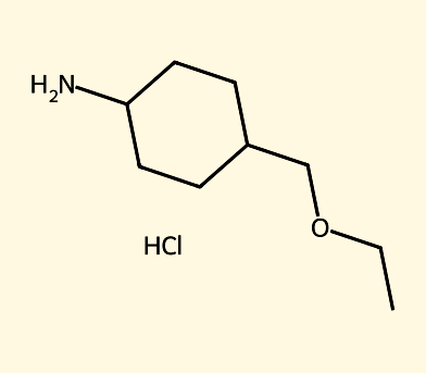 CCOCC1CCC(N)CC1.Cl